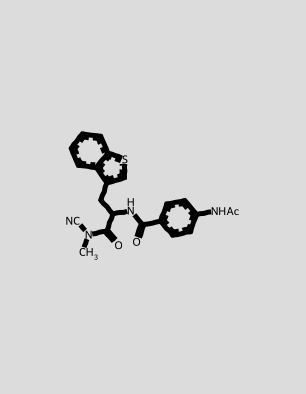 CC(=O)Nc1ccc(C(=O)NC(Cc2csc3ccccc23)C(=O)N(C)C#N)cc1